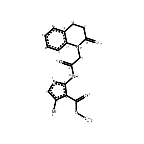 COC(=O)c1c(Br)csc1NC(=O)CN1C(=O)CCc2ccccc21